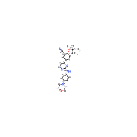 CC(C)(C)Oc1ccc(-c2ccnc(Nc3ccc(N4CCOCC4)cc3)n2)cc1C#N